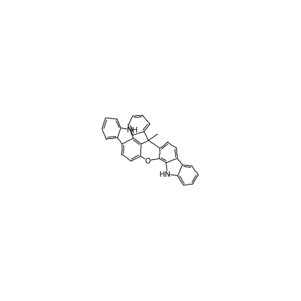 CC1(c2ccccc2)c2ccc3c([nH]c4ccccc43)c2Oc2ccc3c([nH]c4ccccc43)c21